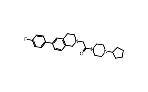 O=C(CN1CCc2cc(-c3ccc(F)cc3)ccc2C1)N1CCN(C2CCCC2)CC1